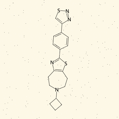 c1cc(-c2nc3c(s2)CCN(C2CCC2)CC3)ccc1-c1csnn1